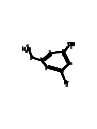 NCc1cc(O)cc(Br)c1